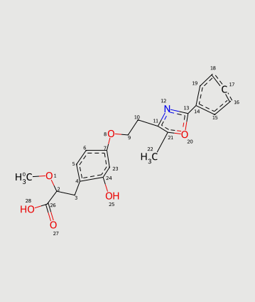 COC(Cc1ccc(OCCc2nc(-c3ccccc3)oc2C)cc1O)C(=O)O